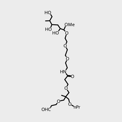 CCCOCC(C)(COCCC=O)COCCC(=O)NCCOCCOCCOC(OC)C(O)CC(O)C(C)CO